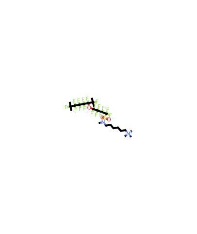 CN(CCCCCC[N+](C)(C)C)S(=O)(=O)C(F)(F)C(F)(F)C(F)(F)C(F)(F)OC(F)(C(C)(C)F)C(F)(F)C(F)(F)C(F)(F)C(C)(C)F